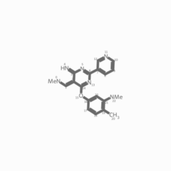 CN/C=C1\C(=N)N=C(c2cccnc2)N=C1Oc1ccc(C)c(NC)c1